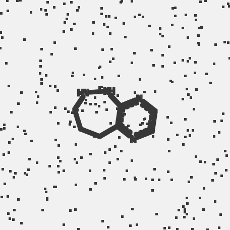 c1cnc2c(n1)CCCNN2